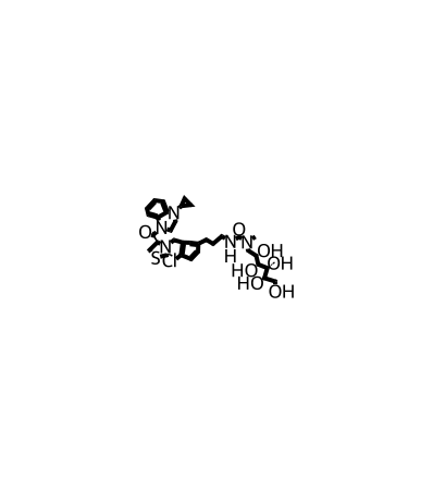 CN(C[C@H](O)[C@@H](O)[C@H](O)[C@H](O)CO)C(=O)NCCCc1ccc(Cl)c(CN2CSC[C@H]2C(=O)N2CCN(C3CC3)c3ccccc32)c1